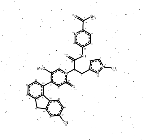 COc1cn(C(Cc2ccn(C)n2)C(=O)Nc2ccc(C(N)=O)nc2)c(=O)cc1-c1cccc2c1-c1ccc(C#N)cc1C2